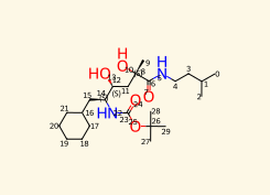 CC(C)CCNC(=O)[C@@](C)(O)C[C@H](O)[C@H](CC1CCCCC1)NC(=O)OC(C)(C)C